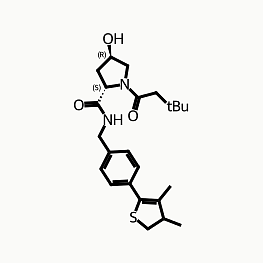 CC1=C(c2ccc(CNC(=O)[C@@H]3C[C@@H](O)CN3C(=O)CC(C)(C)C)cc2)SCC1C